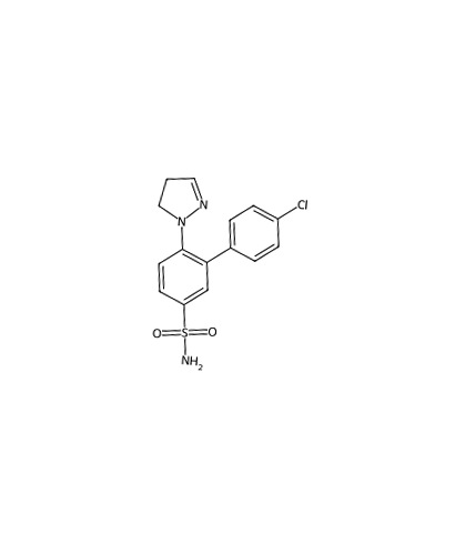 NS(=O)(=O)c1ccc(N2CCC=N2)c(-c2ccc(Cl)cc2)c1